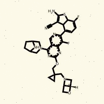 N#CC1=C(N)SC2C(F)=CC=C(c3ncc4c(N5CC6CCC(C5)N6)nc(OCC5(CN6C[C@@H]7OCC76)CC5)nc4c3F)C12